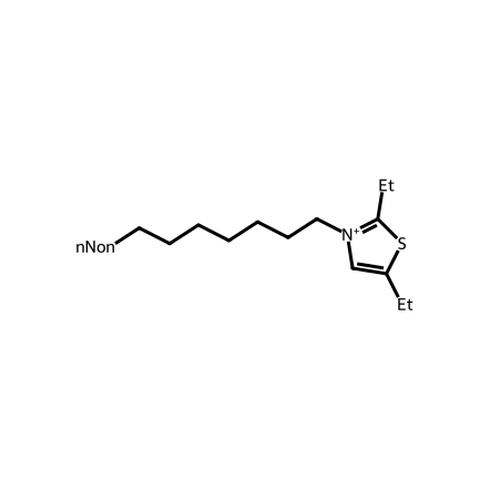 CCCCCCCCCCCCCCCC[n+]1cc(CC)sc1CC